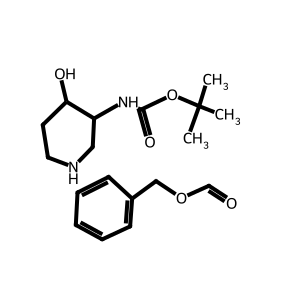 CC(C)(C)OC(=O)NC1CNCCC1O.O=COCc1ccccc1